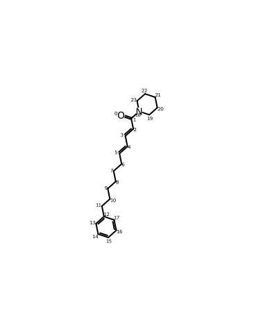 O=C(C=CC=CCCCCCCc1ccccc1)N1CCCCC1